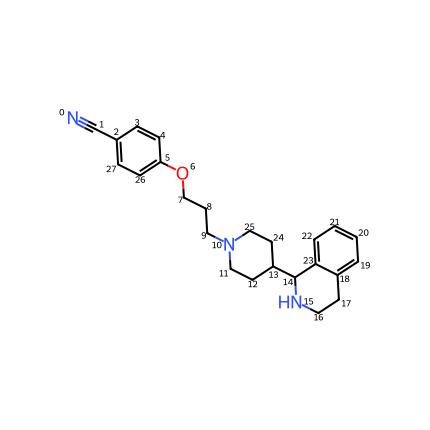 N#Cc1ccc(OCCCN2CCC(C3NCCc4ccccc43)CC2)cc1